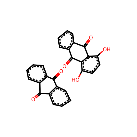 O=C1c2ccccc2C(=O)c2c(O)ccc(O)c21.O=C1c2ccccc2C(=O)c2ccccc21